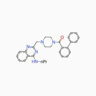 CCCNc1nc(CN2CCN(C(=O)c3ccccc3-c3ccccc3)CC2)nc2ccccc12